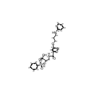 O=C(NCC(NS(=O)(=O)c1ccccc1)C(=O)O)c1cc(OCCCNc2ccccn2)no1